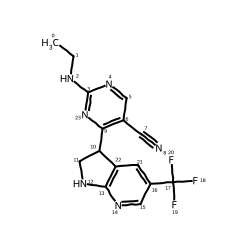 CCNc1ncc(C#N)c(C2CNc3ncc(C(F)(F)F)cc32)n1